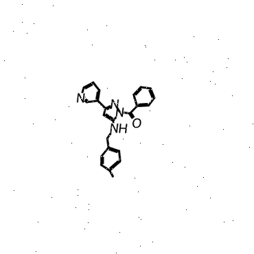 Cc1ccc(CNc2cc(-c3cccnc3)nn2C(=O)c2ccccc2)cc1